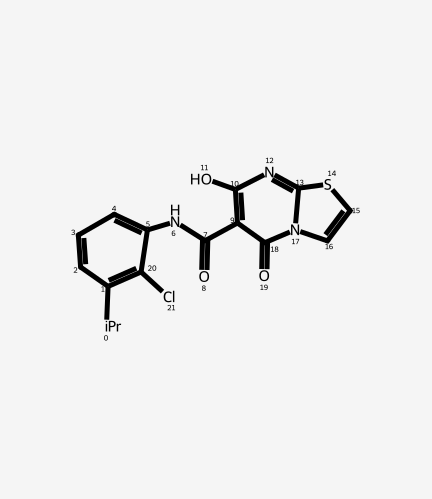 CC(C)c1cccc(NC(=O)c2c(O)nc3sccn3c2=O)c1Cl